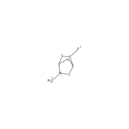 CN1CC2CC1CC2F